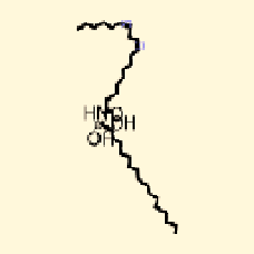 CCCCC/C=C\C/C=C\CCCCCCCC(=O)N[C@@H](CO)[C@H](O)CCCCCCCCCCCCCCC